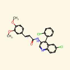 COc1ccc(/C=C/C(=O)Nc2cnc3ccc(Cl)cc3c2-c2ccccc2Cl)cc1OC